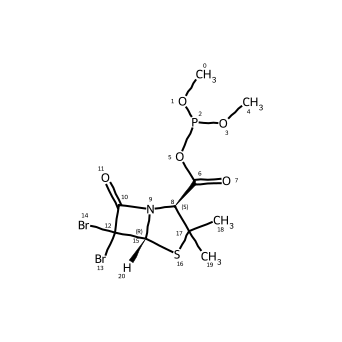 COP(OC)OC(=O)[C@@H]1N2C(=O)C(Br)(Br)[C@H]2SC1(C)C